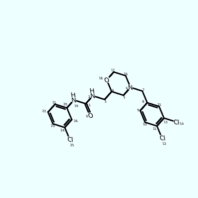 O=C(NCC1CN(Cc2ccc(Cl)c(Cl)c2)CCO1)Nc1cccc(Cl)c1